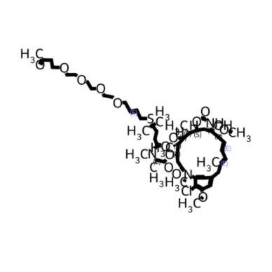 COc1cc2cc(c1Cl)N(C)C(=O)C[C@H](OC(=O)[C@H](C)N(C)C(=O)CCC(C)(C)SC/C=C/COCCOCCOCCOCCC(C)=O)[C@]1(C)O[C@H]1[C@H](C)[C@@H]1C[C@@](O)(NC(=O)O1)[C@H](OC)/C=C/C=C(\C)C2